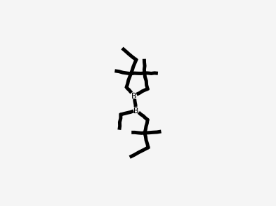 CCB(CC(C)(C)CC)B1CC(C)(C)C(C)(CC)C1